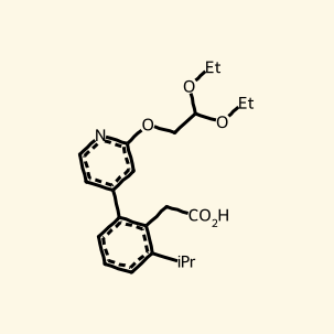 CCOC(COc1cc(-c2cccc(C(C)C)c2CC(=O)O)ccn1)OCC